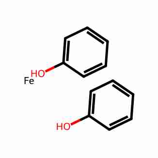 Oc1ccccc1.Oc1ccccc1.[Fe]